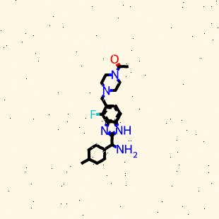 CC(=O)N1CCN(Cc2ccc3[nH]c(C(N)C4CCC(C)CC4)nc3c2F)CC1